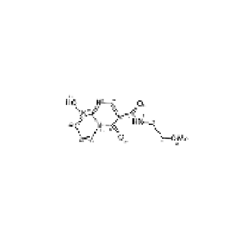 COCCNC(=O)c1cnc2c(O)cccn2c1=O